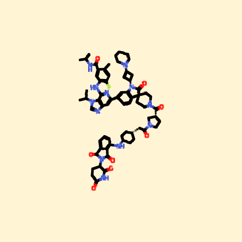 Cc1cc(F)c(Nc2nc(-c3ccc4c(c3)N([C@H]3C[C@@H](N5CCCCC5)C3)C(=O)C43CCN(C(=O)[C@@H]4CCN(C(=O)C[C@H]5CC[C@H](Nc6cccc7c6C(=O)N(C6CCC(=O)NC6=O)C7=O)CC5)C4)CC3)cc3ncn(C(C)C)c23)cc1C(=O)NC(C)C